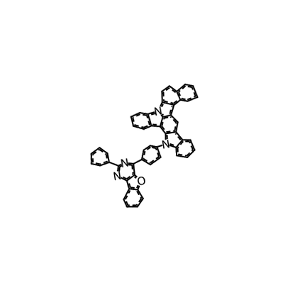 c1ccc(-c2nc(-c3ccc(-n4c5ccccc5c5cc6c7c8ccccc8ccc7n7c8ccccc8c(c54)c67)cc3)c3oc4ccccc4c3n2)cc1